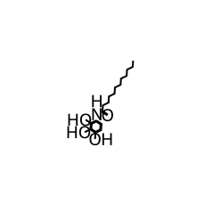 CCCCCCCCCCCC(=O)Nc1ccc(O)c(O)c1O